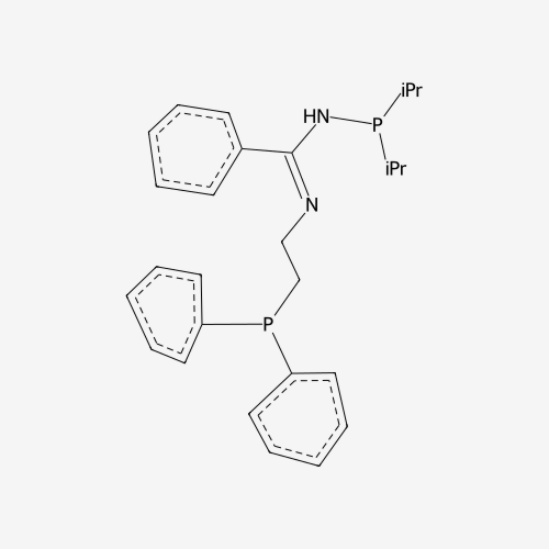 CC(C)P(N/C(=N/CCP(c1ccccc1)c1ccccc1)c1ccccc1)C(C)C